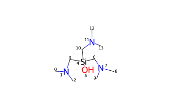 CN(C)C[Si](O)(CN(C)C)CN(C)C